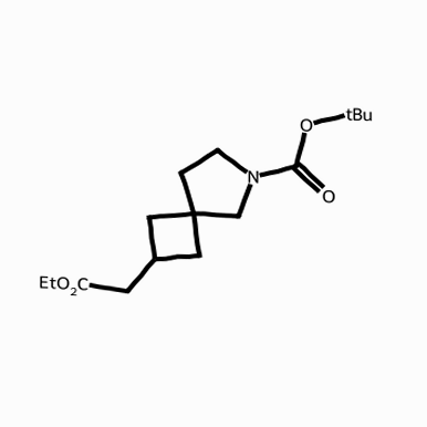 CCOC(=O)CC1CC2(CCN(C(=O)OC(C)(C)C)C2)C1